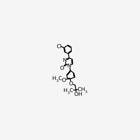 COc1cc(-n2ccc(-c3cccc(Cl)c3)nc2=O)ccc1OCC(C)(C)O